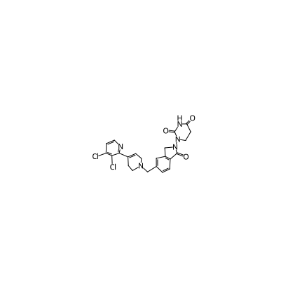 O=C1CCN(N2Cc3cc(CN4CC=C(c5nccc(Cl)c5Cl)CC4)ccc3C2=O)C(=O)N1